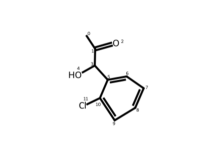 CC(=O)C(O)c1ccccc1Cl